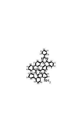 Nc1ccc(-c2cc(-c3ccccc3-c3nc(-c4ccccc4)nc(-c4ccccc4)n3)ccc2-c2nc(-c3ccccc3)nc(-c3ccccc3-c3ccccc3)n2)cc1